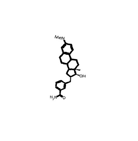 CNc1ccc2c(c1)CCC1C2CC[C@@]2(C)C1C[C@H](Cc1cccc(C(N)=O)c1)[C@@H]2O